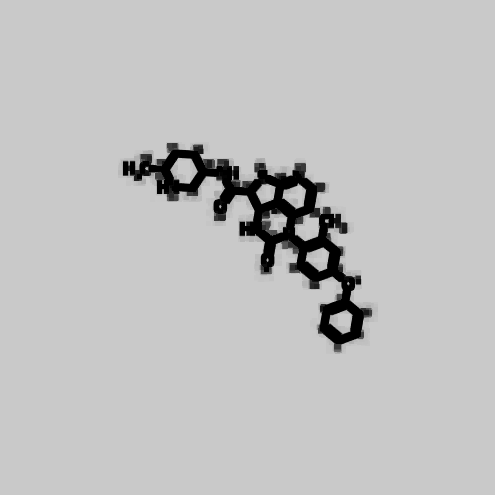 Cc1cc(Oc2ccccc2)ccc1N1C(=O)NC2c3c1ccnc3SC2C(=O)NC1CC[C@H](C)NC1